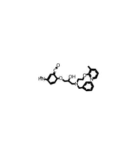 CNC1=CC(=C=O)C(OCC(O)CN(CCOc2ncccc2C)Cc2ccccc2)C=C1